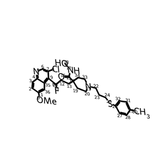 COc1ccc2ncc(Cl)c([C@H](F)CCC3(C(=O)NO)CCN(CCCSc4ccc(C)cc4)CC3)c2c1